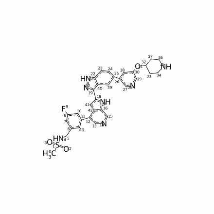 CS(=O)(=O)NCc1cc(F)cc(-c2cncc3[nH]c(-c4n[nH]c5ccc(-c6cncc(OC7CCNCC7)c6)cc45)cc23)c1